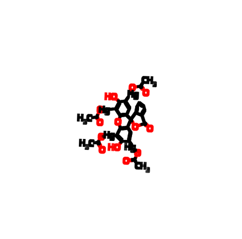 CC(=O)[O][Hg][c]1cc2c([c]([Hg][O]C(C)=O)c1O)Oc1c(c[c]([Hg][O]C(C)=O)c(O)[c]1[Hg][O]C(C)=O)C21OC(=O)c2ccccc21